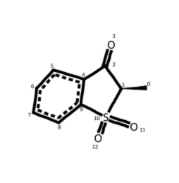 C[C@@H]1C(=O)c2ccccc2S1(=O)=O